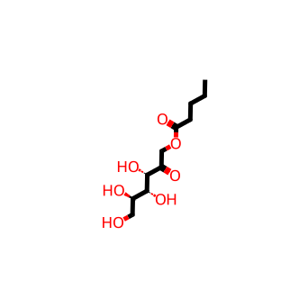 CCCCC(=O)OCC(=O)[C@@H](O)[C@H](O)[C@H](O)CO